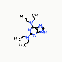 CCN(CC)c1nc(N(CC)CC)c2nc[nH]c2n1